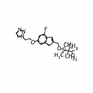 CC(C)(C)[Si](C)(C)OCC1=Cc2c(F)cc(OCCn3ccnn3)cc2C1